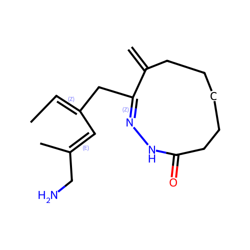 C=C1CCCCCC(=O)N/N=C\1CC(=C/C)/C=C(\C)CN